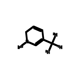 [2H]C([2H])([2H])C1=C[N]([Ir+2])CC=C1